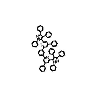 c1ccc(-c2cc(-c3cccc(-c4cc(-c5ccccc5)cc(-c5c(-c6ccccc6)c(-c6ccccc6)nn5-c5ccccc5)n4)c3)nc(-c3c(-c4ccccc4)c(-c4ccccc4)nn3-c3ccccc3)c2)cc1